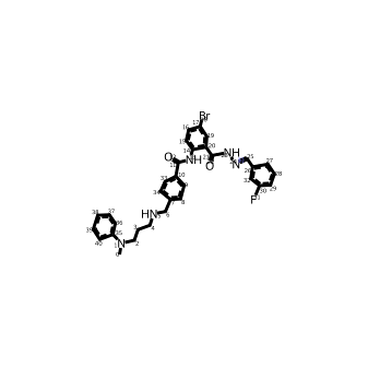 CN(CCCNCc1ccc(C(=O)Nc2ccc(Br)cc2C(=O)N/N=C/c2cccc(F)c2)cc1)c1ccccc1